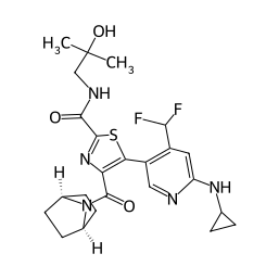 CC(C)(O)CNC(=O)c1nc(C(=O)N2[C@H]3CC[C@@H]2CC3)c(-c2cnc(NC3CC3)cc2C(F)F)s1